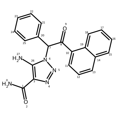 NC(=O)c1nnn(C(C(=O)c2cccc3ccccc23)c2ccccc2)c1N